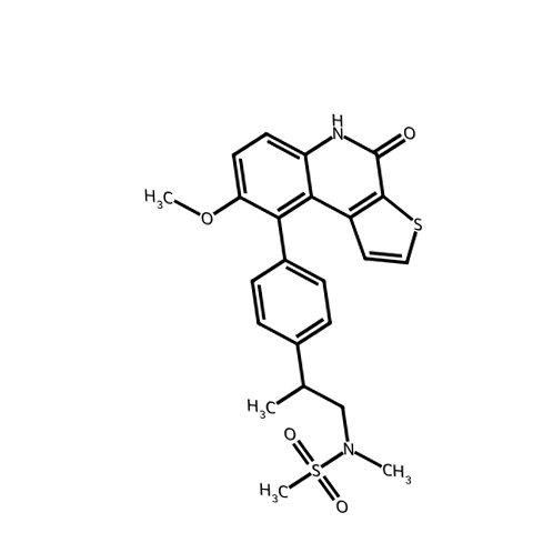 COc1ccc2[nH]c(=O)c3sccc3c2c1-c1ccc(C(C)CN(C)S(C)(=O)=O)cc1